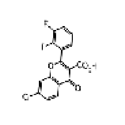 O=C(O)c1c(-c2cccc(F)c2F)oc2cc(Cl)ccc2c1=O